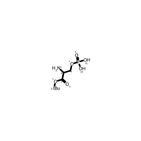 CC(C)(C)OC(=O)C(N)COP(=O)(O)O